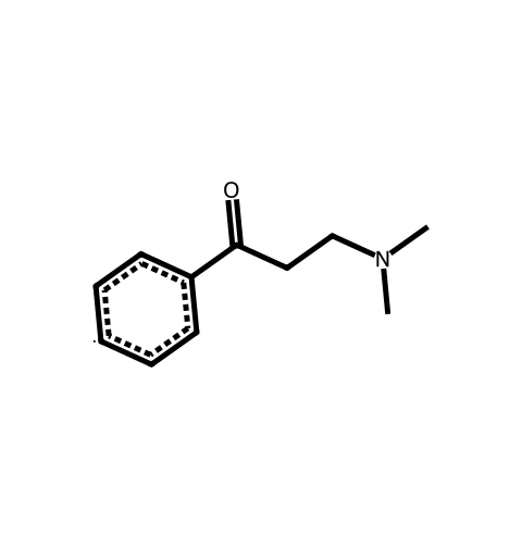 CN(C)CCC(=O)c1cc[c]cc1